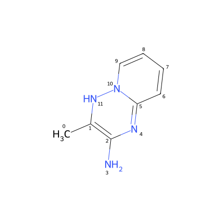 CC1=C(N)N=C2C=CC=CN2N1